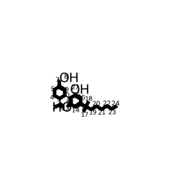 C=C(C)[C@H]1CCC(CO)=C[C@@H]1c1c(O)cc(C(C)(C)CCCCCC)cc1O